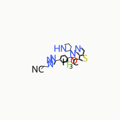 Cc1csc2ccnc(N(C(=O)c3ccc(-c4cn(CCC#N)nn4)cc3F)[C@@H]3CCCNC3)c12